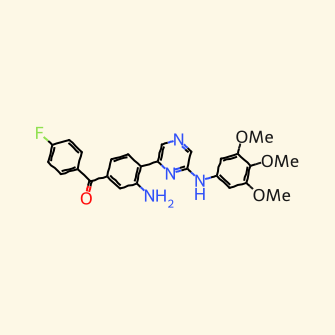 COc1cc(Nc2cncc(-c3ccc(C(=O)c4ccc(F)cc4)cc3N)n2)cc(OC)c1OC